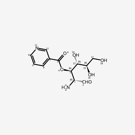 N[C@@H](C=O)[C@@H](OC(=O)c1cccnc1)[C@H](O)[C@H](O)CO